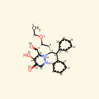 CCOCC[C@H](C(c1ccccc1)c1ccccc1)n1ncc(=O)c(O)c1C=O